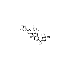 Cc1cc(C)n(-c2nc3c(c(=O)n2-c2ccc(OC[C@@H](C)O)cc2)C[C@@H](C)N(C(=O)c2ccc(Br)c(C(F)(F)F)c2)C3)n1